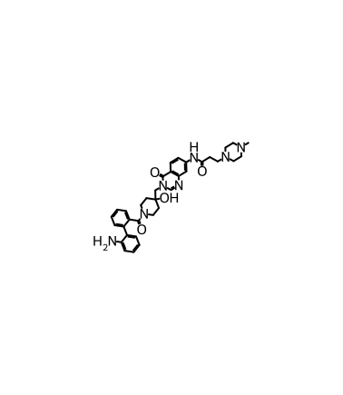 CN1CCN(CCC(=O)Nc2ccc3c(=O)n(CC4(O)CCN(C(=O)c5ccccc5-c5ccccc5N)CC4)cnc3c2)CC1